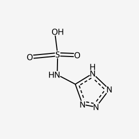 O=S(=O)(O)Nc1nnn[nH]1